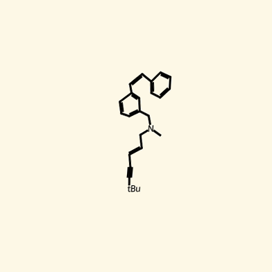 CN(C/C=C/C#CC(C)(C)C)Cc1cccc(/C=C\c2ccccc2)c1